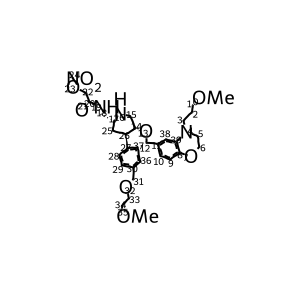 COCCCN1CCOc2ccc(CO[C@H]3CN[C@@H](CNC(=O)CO[N+](=O)[O-])C[C@@H]3c3ccc(COCCOC)cc3)cc21